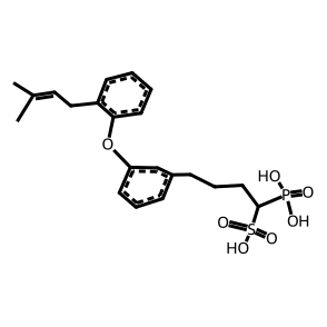 CC(C)=CCc1ccccc1Oc1cccc(CCCC(P(=O)(O)O)S(=O)(=O)O)c1